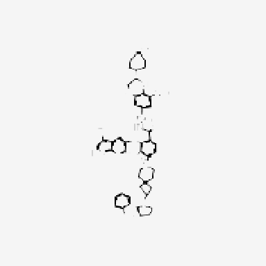 COc1nc2[nH]cc(F)c2cc1Oc1cc(N2CCC3(CC2)CC(N2CCC[C@@H]2c2ccccc2C(C)C)C3)ccc1C(=O)NS(=O)(=O)c1cc2c(c([N+](=O)[O-])c1)N[C@@H](C1CCC(C)(O)CC1)CO2